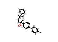 Cc1ccc(-c2ccc(C3(O)CCC(C)(c4ccccc4)CC3)cc2)cc1